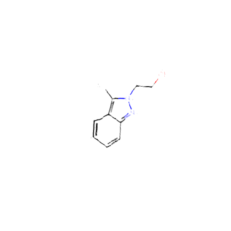 CC(=O)c1c2ccccc2nn1CCO